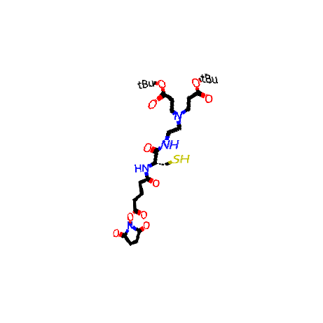 CC(C)(C)OC(=O)CCN(CCNC(=O)[C@H](CS)NC(=O)CCCC(=O)ON1C(=O)CCC1=O)CCC(=O)OC(C)(C)C